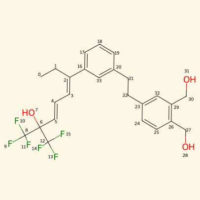 CCC(=CC=CC(O)(C(F)(F)F)C(F)(F)F)c1cccc(CCc2ccc(CO)c(CO)c2)c1